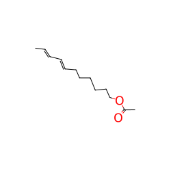 CC=CC=CCCCCCCOC(C)=O